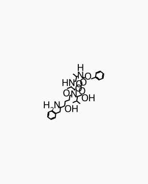 CC(NC(=O)OCc1ccccc1)C(=O)NC(C)C(=O)N(C(=O)CCC(O)C(N)Cc1ccccc1)C(C(=O)O)C(C)C